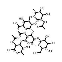 CC(=O)NC1C(O[C@@H]2O[C@@H](C)[C@@H](O[C@@H]3OC(CO)[C@@H](O)C(O)C3O)C(O[C@@H]3OC(C(=O)O)[C@@H](O)C(O)C3O[C@@H]3O[C@@H](C)C(O)C(O)[C@@H]3NC(C)=O)[C@@H]2NC(C)=O)[C@H](O)C(C)O[C@H]1O